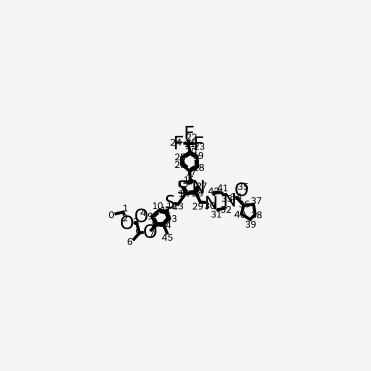 CCOC(=O)C(C)Oc1ccc(SCc2sc(-c3ccc(C(F)(F)F)cc3)nc2CN2CCN(C(=O)C3CCCC3)CC2)cc1C